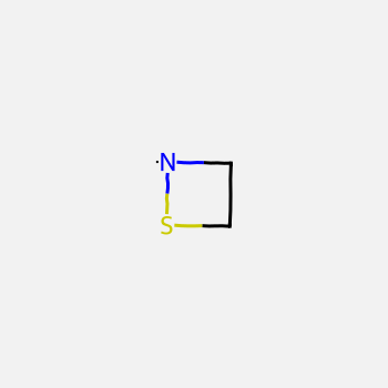 C1CS[N]1